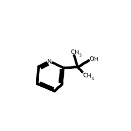 CC(C)(O)c1ccccn1